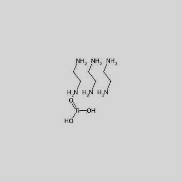 NCCN.NCCN.NCCN.[O]=[Ti]([OH])[OH]